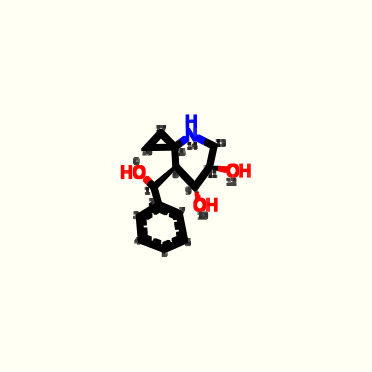 OC(c1ccccc1)[C@@H]1[C@@H](O)[C@H](O)CNC12CC2